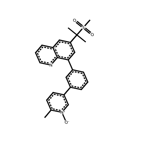 Cc1ccc(-c2cccc(-c3cc(C(C)(C)S(C)(=O)=O)cc4cccnc34)c2)c[n+]1[O-]